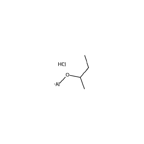 CCC(C)[O][Al].Cl